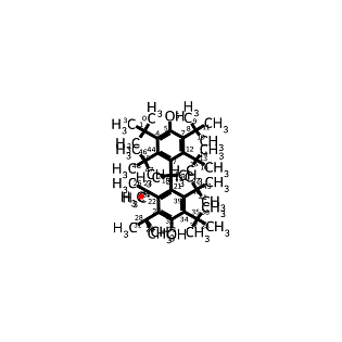 CC(C)(C)c1c(O)c(C(C)(C)C)c(C(C)(C)C)c(C(C)(C)c2c(C(C)(C)C)c(C(C)(C)C)c(O)c(C(C)(C)C)c2C(C)(C)C)c1C(C)(C)C